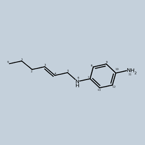 CCCC=CCNc1ccc(N)cc1